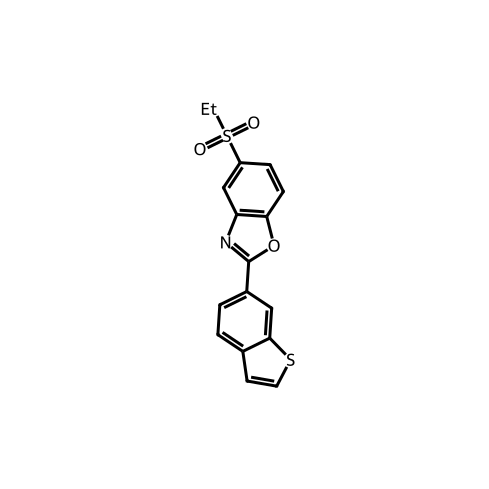 CCS(=O)(=O)c1ccc2oc(-c3ccc4ccsc4c3)nc2c1